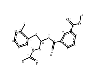 COC(=O)c1cccc(C(=O)NC(CSC(C)=O)Cc2ccccc2C)c1